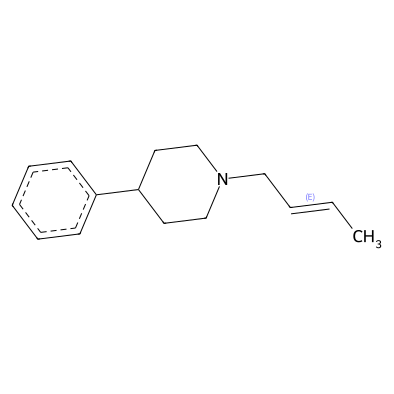 C/C=C/CN1CCC(c2ccccc2)CC1